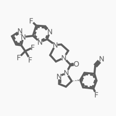 N#Cc1cc(F)cc([C@@H]2CC=NN2C(=O)N2CCN(c3ncc(F)c(-n4nccc4C(F)(F)F)n3)CC2)c1